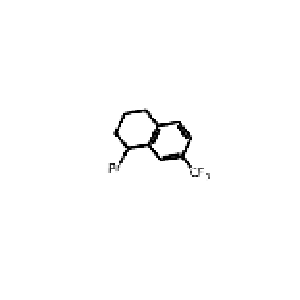 CC(C)C1CCCc2ccc(C(F)(F)F)cc21